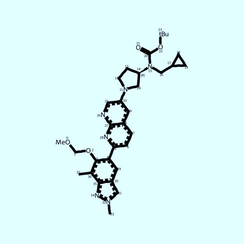 COCOc1c(-c2ccc3cc(N4CC[C@@H](N(CC5CC5)C(=O)OC(C)(C)C)C4)cnc3n2)cc2cn(C)nc2c1C